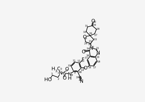 CN(CCO)S(=O)(=O)Nc1ccc(F)c(Oc2ccc3ncn([C@H]4COC5(CCC(=O)CC5)C4)c(=O)c3c2)c1C#N